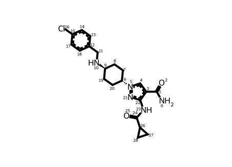 NC(=O)c1cn([C@H]2CC[C@H](NCc3ccc(Cl)cc3)CC2)nc1NC(=O)C1CC1